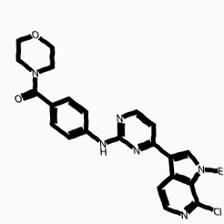 CCn1cc(-c2ccnc(Nc3ccc(C(=O)N4CCOCC4)cc3)n2)c2ccnc(Cl)c21